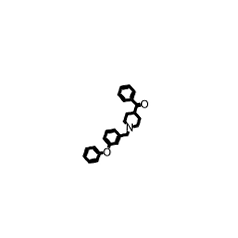 O=C(c1ccccc1)C1CCN(Cc2cccc(Oc3ccccc3)c2)CC1